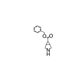 O=C(OCc1ccccc1)C1C2CNCC21